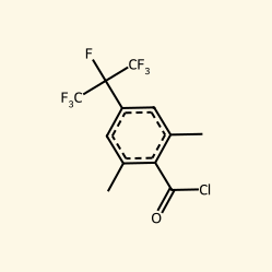 Cc1cc(C(F)(C(F)(F)F)C(F)(F)F)cc(C)c1C(=O)Cl